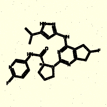 CC(C)c1cc(Nc2nc(N3CCC[C@H]3C(=O)Nc3ccc(F)nc3)nc3c2CC(F)C3)n[nH]1